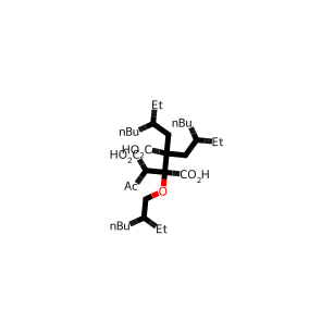 CCCCC(CC)COC(C(=O)O)(C(C(C)=O)C(=O)O)C(CC(CC)CCCC)(CC(CC)CCCC)C(=O)O